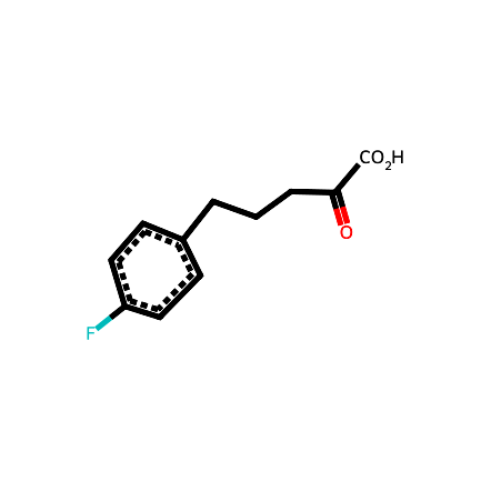 O=C(O)C(=O)CCCc1ccc(F)cc1